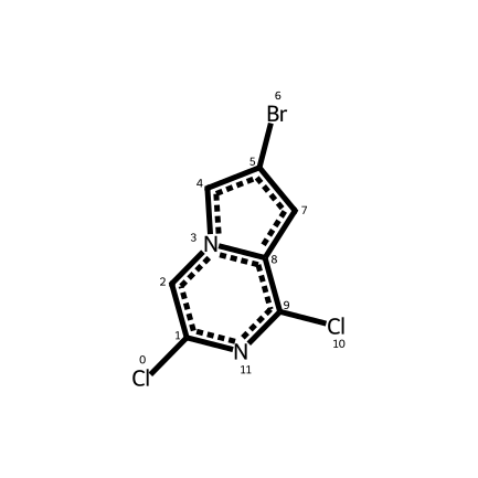 Clc1cn2cc(Br)cc2c(Cl)n1